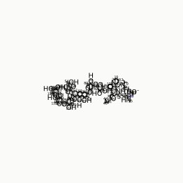 CC(C)N(CCC(C(N)=O)(c1ccccc1)c1ccccn1)C(C)C.CN/C(=C/[N+](=O)[O-])NCCSCc1ccc(CN(C)C)o1.CO[C@H](C(=O)[C@@H](O)[C@@H](C)O)C1Cc2cc3cc(O[C@H]4C[C@@H](O[C@H]5C[C@@H](O)[C@H](O)[C@@H](C)O5)[C@@H](O)[C@@H](C)O4)c(C)c(O)c3c(O)c2C(=O)[C@H]1O[C@H]1C[C@@H](O[C@H]2C[C@@H](O[C@H]3C[C@](C)(O)[C@H](O)[C@@H](C)O3)[C@H](O)[C@@H](C)O2)[C@H](O)[C@@H](C)O1